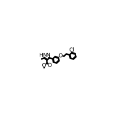 COC(=O)c1c(-c2cccc(OCCc3ccccc3Cl)c2)n[nH]c1C